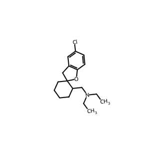 CCN(CC)CC1CCCCC12Cc1cc(Cl)ccc1O2